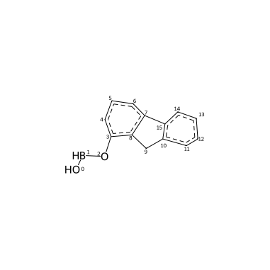 OBOc1cccc2c1Cc1ccccc1-2